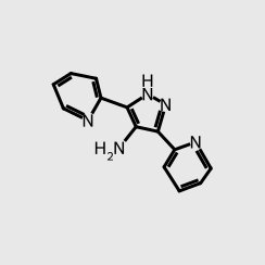 Nc1c(-c2ccccn2)n[nH]c1-c1ccccn1